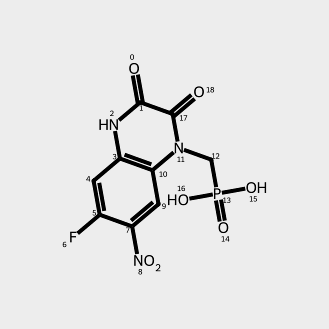 O=c1[nH]c2cc(F)c([N+](=O)[O-])cc2n(CP(=O)(O)O)c1=O